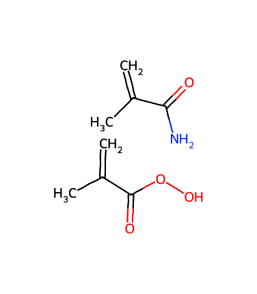 C=C(C)C(=O)OO.C=C(C)C(N)=O